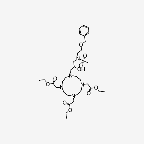 CCOC(=O)CN1CCN(CC(=O)OCC)CCN(CC(O)CN(CCOCc2ccccc2)S(C)(=O)=O)CCN(CC(=O)OCC)CC1